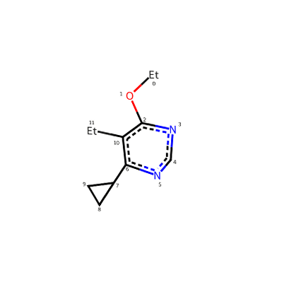 CCOc1ncnc(C2CC2)c1CC